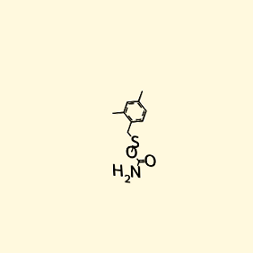 Cc1ccc(CSOC(N)=O)c(C)c1